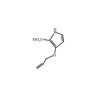 C=CCOc1cc[nH]c1C(=O)OCC